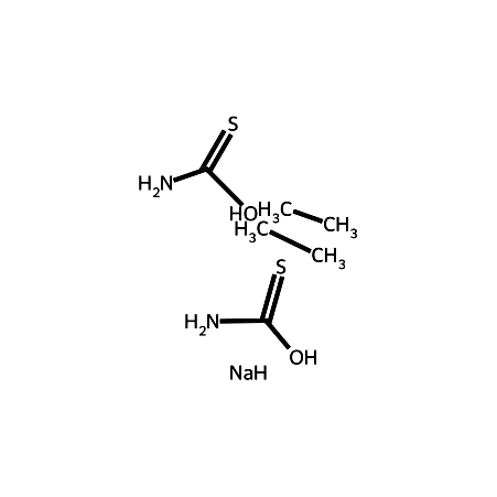 CC.CC.NC(O)=S.NC(O)=S.[NaH]